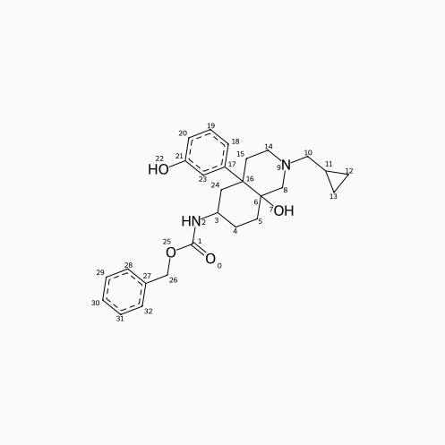 O=C(NC1CCC2(O)CN(CC3CC3)CCC2(c2cccc(O)c2)C1)OCc1ccccc1